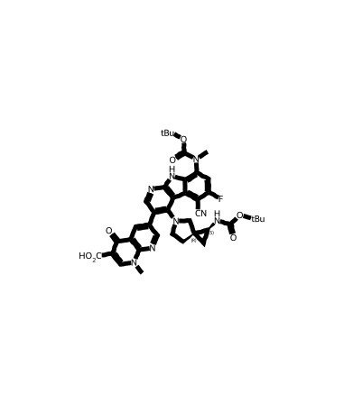 CN(C(=O)OC(C)(C)C)c1cc(F)c(C#N)c2c1[nH]c1ncc(-c3cnc4c(c3)c(=O)c(C(=O)O)cn4C)c(N3CC[C@@]4(C[C@@H]4NC(=O)OC(C)(C)C)C3)c12